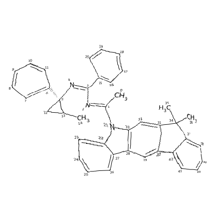 C/C(=N\C(=N/[C@]1(c2ccccc2)CC1C)c1ccccc1)n1c2ccccc2c2cc3c(cc21)C(C)(C)c1ccccc1-3